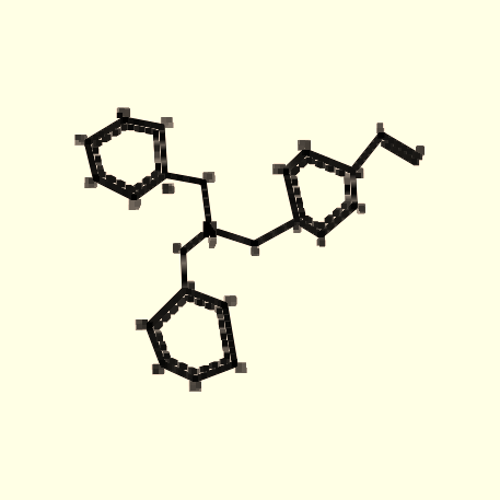 C=Cc1ccc(CN(Cc2ccccc2)Cc2ccccc2)cc1